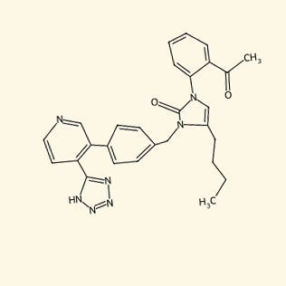 CCCCc1cn(-c2ccccc2C(C)=O)c(=O)n1Cc1ccc(-c2cnccc2-c2nnn[nH]2)cc1